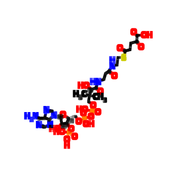 CC(C)(COP(=O)(O)OP(=O)(O)OC[C@H]1O[C@@H](n2cnc3c(N)ncnc32)[C@H](O)[C@@H]1OP(=O)(O)O)[C@@H](O)C(=O)NCCC(=O)NCCSC(=O)CCC(=O)C(=O)O